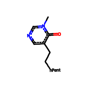 CCCCCCCc1cncn(C)c1=O